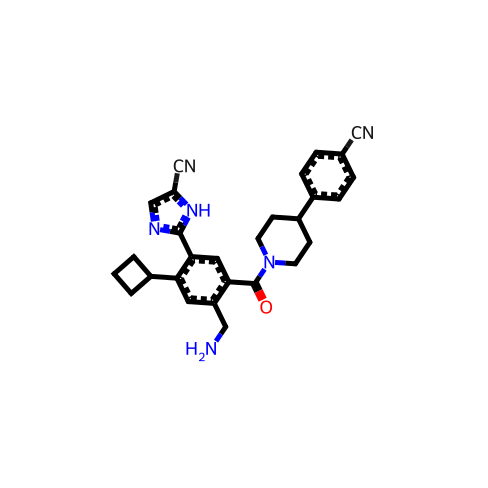 N#Cc1ccc(C2CCN(C(=O)c3cc(-c4ncc(C#N)[nH]4)c(C4CCC4)cc3CN)CC2)cc1